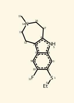 CCSc1cc2[nH]c3c(c2cc1F)CCN(C)CC3